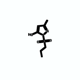 CCCS(=O)(=O)n1nc(C)cc1O